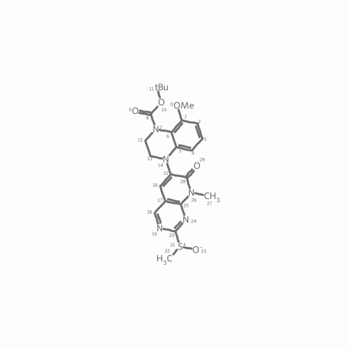 COc1cccc2c1N(C(=O)OC(C)(C)C)CCN2c1cc2cnc([S+](C)[O-])nc2n(C)c1=O